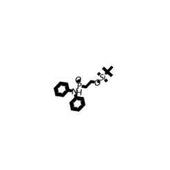 CC(C)(C)[Si](C)(C)OCC[PH](=O)N(c1ccccc1)c1ccccc1